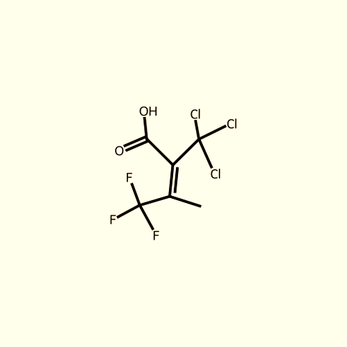 CC(=C(C(=O)O)C(Cl)(Cl)Cl)C(F)(F)F